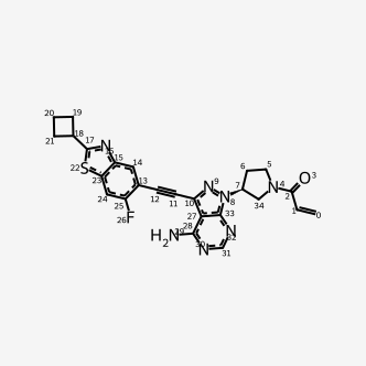 C=CC(=O)N1CC[C@H](n2nc(C#Cc3cc4nc(C5CCC5)sc4cc3F)c3c(N)ncnc32)C1